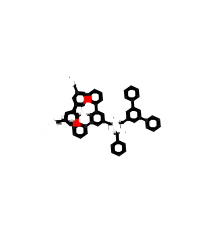 CC(C)(C)c1ccc2c(c1)c1cc(C#N)ccc1n2-c1c(-c2ccccc2)cc(-c2nc(-c3ccccc3)nc(-c3cc(-c4ccccc4)cc(-c4ccccc4)c3)n2)cc1-c1ccccc1